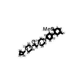 COc1ccc(C)cc1-c1ccc(N2CCN(CC(=O)N3CCN(C4CCC4)CC3)CC2)cc1